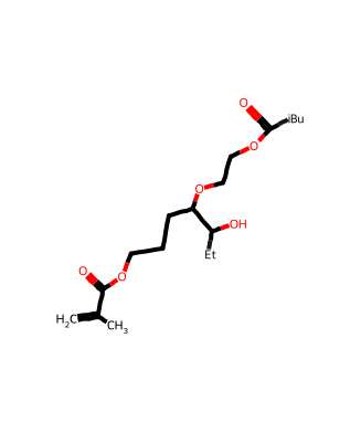 C=C(C)C(=O)OCCCC(OCCOC(=O)C(C)CC)C(O)CC